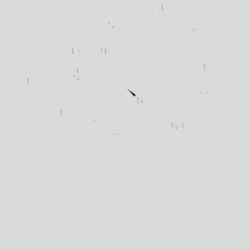 Cc1cc([C@H](C(=O)NC(C)C)N2C(=O)[C@@H](C3Cc4ccccc4C3)NC(=O)[C@H]2CC(C)C)n(C)n1